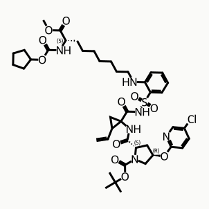 C=CC1CC1(NC(=O)[C@@H]1C[C@@H](Oc2ccc(Cl)cn2)CN1C(=O)OC(C)(C)C)C(=O)NS(=O)(=O)c1ccccc1NCCCCCCC[C@H](NC(=O)OC1CCCC1)C(=O)OC